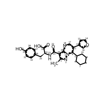 Cc1nn2c(C3CCCCC3)c(-c3ccoc3)cnc2c1C(=O)N[C@@H](Cc1ccc(O)cc1)C(=O)O